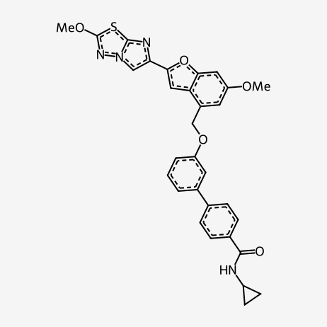 COc1cc(COc2cccc(-c3ccc(C(=O)NC4CC4)cc3)c2)c2cc(-c3cn4nc(OC)sc4n3)oc2c1